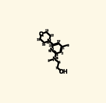 Cc1cc(N(C)CCO)nc(N2CCOCC2)c1